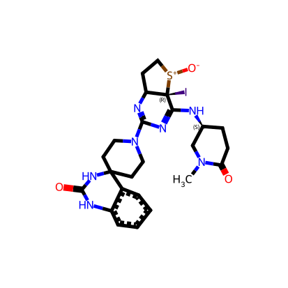 CN1C[C@@H](NC2=NC(N3CCC4(CC3)NC(=O)Nc3ccccc34)=NC3CC[S+]([O-])[C@]23I)CCC1=O